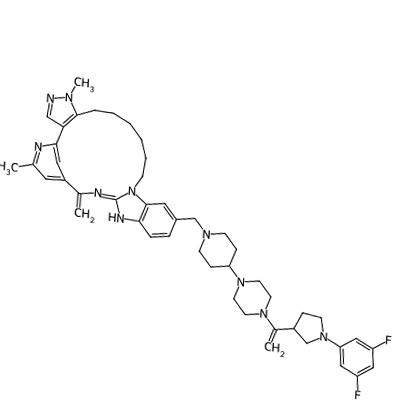 C=C1/N=C2\Nc3ccc(CN4CCC(N5CCN(C(=C)C6CCN(c7cc(F)cc(F)c7)C6)CC5)CC4)cc3N2CCCCCCc2c(cnn2C)-c2cc1cc(C)n2